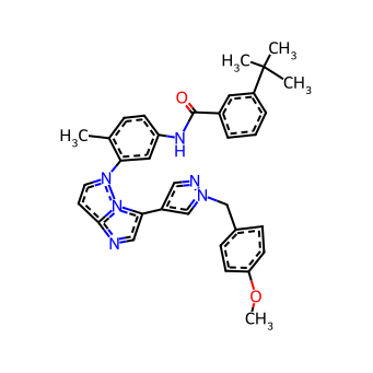 COc1ccc(Cn2cc(-c3cnc4ccn(-c5cc(NC(=O)c6cccc(C(C)(C)C)c6)ccc5C)n34)cn2)cc1